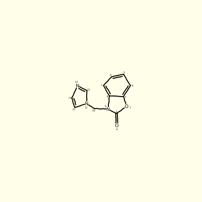 O=c1oc2ccccc2n1Cn1ccnc1